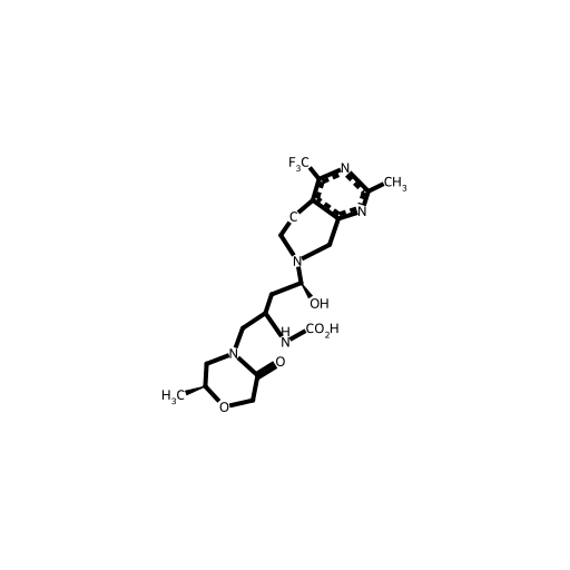 Cc1nc2c(c(C(F)(F)F)n1)CCN([C@@H](O)CC(CN1C[C@H](C)OCC1=O)NC(=O)O)C2